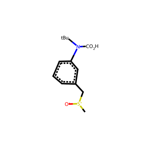 C[S+]([O-])Cc1cccc(N(C(=O)O)C(C)(C)C)c1